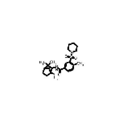 Cc1ccc(C(=O)NC2C3(C)CCC(C3)C2(C)C)cc1S(=O)(=O)N1CCCCC1